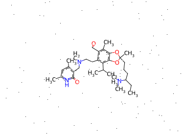 CCC(CCCC1(C)Oc2c(C)c(C=O)c(CCN(C)Cc3c(C)cc(C)[nH]c3=O)c(C(C)C)c2O1)N(C)C